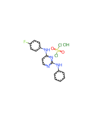 Cl.Fc1ccc(Nc2ccnc(Nc3ccccc3)n2)cc1.O=S(=O)(Cl)Cl